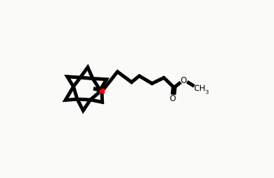 COC(=O)CCCCCC1CC12CC21CC12CC21CC12CC21CC1